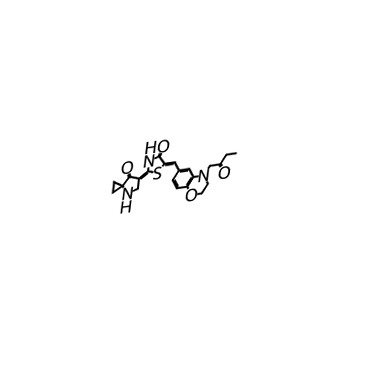 CCC(=O)CN1CCOc2ccc(/C=c3\s/c(=C4\CNC5(CC5)C4=O)[nH]c3=O)cc21